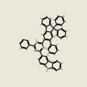 c1ccc(-c2nc(-c3ccc4sc5ccccc5c4c3)nc(-c3cc4c(cc3-c3ccccc3)C(c3ccccc3)(c3ccccc3)c3ccccc3-4)n2)cc1